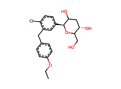 CCOc1ccc(Cc2cc([C@@H]3OC(CO)[C@@H](O)CC3O)ccc2Cl)cc1